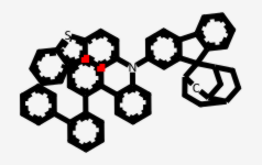 c1ccc(-c2ccccc2-c2ccccc2-c2ccccc2N(c2ccc3c(c2)C2(c4ccccc4-3)C3CCC4CCC2CC4C3)c2ccc3sc4ccccc4c3c2)cc1